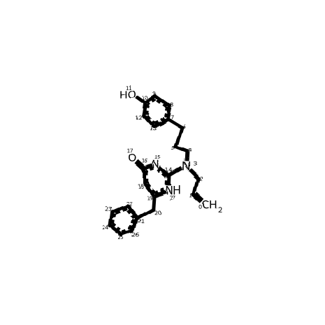 C=CCN(CCCc1ccc(O)cc1)c1nc(=O)cc(Cc2ccccc2)[nH]1